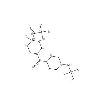 CC(C)(C)NC1CCC(C(=O)N2CCC(C)(C(=O)C(C)(C)C)CC2)CC1